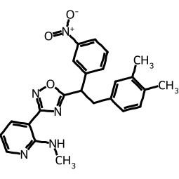 CNc1ncccc1-c1noc(C(Cc2ccc(C)c(C)c2)c2cccc([N+](=O)[O-])c2)n1